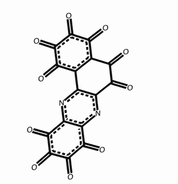 O=C1C(=O)c2c(c(=O)c(=O)c(=O)c2=O)-c2nc3c(=O)c(=O)c(=O)c(=O)c3nc21